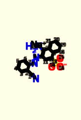 N#Cc1ccccc1N=Nc1cc(S(=O)(=O)[O-])c2ccccc2c1N.[Na+]